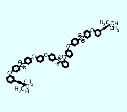 CC(C)(O)C#Cc1cccc(Oc2ccc(S(=O)(=O)c3ccc(Oc4cccc(Oc5ccc(S(=O)(=O)c6ccccc6Oc6cccc(Oc7ccc(S(=O)(=O)c8ccc(Oc9cccc(C#CC(C)(C)O)c9)cc8)cc7)c6)cc5)c4)cc3)cc2)c1